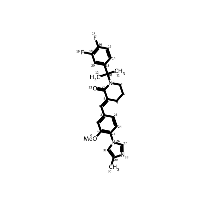 COc1cc(/C=C2\CCCN(C(C)(C)c3ccc(F)c(F)c3)C2=O)ccc1-n1cnc(C)c1